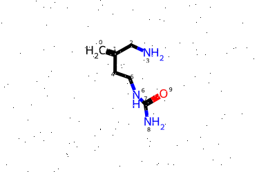 C=C(CN)CCNC(N)=O